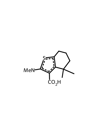 CNc1sc2c(c1C(=O)O)C(C)(C)CCC2